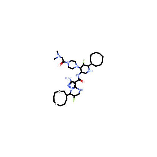 CN(C)CC(=O)N1CCN(C2C(NC(=O)c3c(N)nn4c3NCC(F)C4C3CCCCCCCCC3)CNC(C3CCCCCCCC3)C2F)CC1